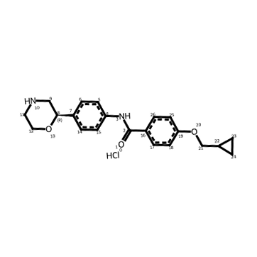 Cl.O=C(Nc1ccc([C@@H]2CNCCO2)cc1)c1ccc(OCC2CC2)cc1